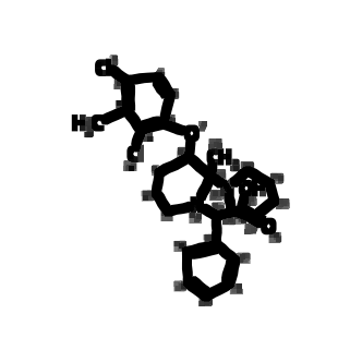 Cc1c(Cl)ccc(OC2CCCN(C(C(=O)O)c3ccccc3)C2(C)N2CCCCC2)c1Cl